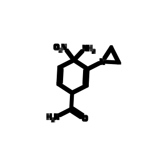 NC(=O)C1C=CC(N)([N+](=O)[O-])C(N2CC2)=C1